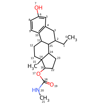 CCC1Cc2cc(O)ccc2C2CCC3(C)C(OC(=O)NC)CCC3C12